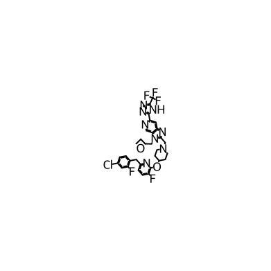 Fc1cc(Cl)ccc1Cc1ccc(F)c(OC2CCN(Cc3nc4cc(-c5nnc(C(F)(F)F)[nH]5)ncc4n3CC3CCO3)CC2)n1